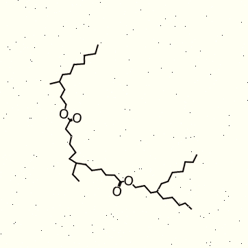 CCCCCCCC(C)CCCOC(=O)CCCCCC(CC)CCCCCC(=O)OCCCC(CCCCC)CCCCCCC